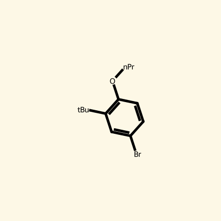 CCCOc1ccc(Br)cc1C(C)(C)C